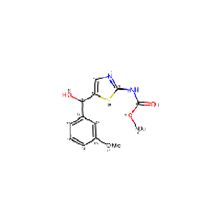 CCCCOC(=O)Nc1ncc(C(O)c2cccc(OC)c2)s1